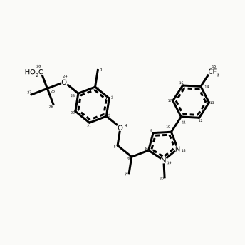 Cc1cc(OCC(C)c2cc(-c3ccc(C(F)(F)F)cc3)nn2C)ccc1OC(C)(C)C(=O)O